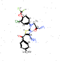 COc1ccc(C(=O)c2sc(N(c3ccc(OC(F)F)c(Cl)c3)[C@H](C)C(N)=O)nc2N)cc1